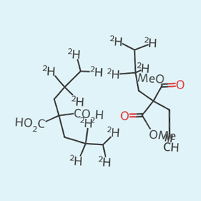 [2H]C([2H])C([2H])([2H])CC(CC#C)(C(=O)OC)C(=O)OC.[2H]C([2H])C([2H])([2H])CC(CC([2H])([2H])C([2H])[2H])(C(=O)O)C(=O)O